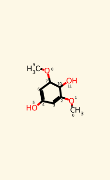 COC1=CC(O)=CC(OC)C1O